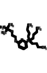 CCC[CH2][Sn]([CH2]CCC)([CH2]CCC)[c]1cccc(OCCOC(C)(C)C)n1